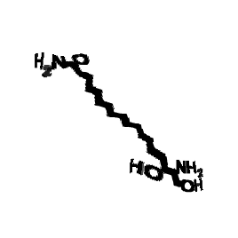 NC(=O)CCCCCCCCCCCCC=CC(O)C(N)CO